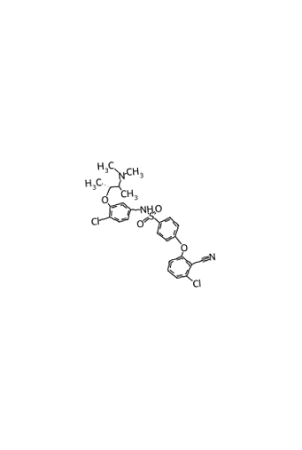 CC([C@@H](C)Oc1cc(NS(=O)(=O)c2ccc(Oc3cccc(Cl)c3C#N)cc2)ccc1Cl)N(C)C